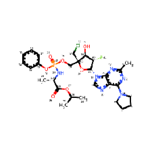 Cc1nc(N2CCCC2)c2ncn([C@@H]3O[C@](CCl)(CO[P@](=O)(N[C@@H](C)C(=O)OC(C)C)Oc4ccccc4)[C@@H](O)[C@@H]3F)c2n1